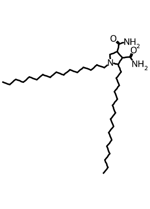 CCCCCCCCCCCCCCCCC1C(C(N)=O)C(C(N)=O)CN1CCCCCCCCCCCCCCCC